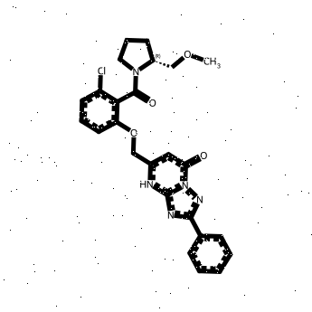 COC[C@H]1CCCN1C(=O)c1c(Cl)cccc1OCc1cc(=O)n2nc(-c3ccccc3)nc2[nH]1